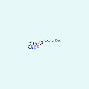 CCCCCCCCCCCCCCCCc1ccc(S(=O)(=O)Nc2cccc3cccnc23)cc1